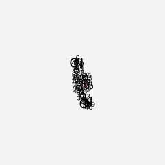 CC1(C)COC(c2ccc(-c3ccc4c(c3)C(c3ccccc3)(c3ccccc3)c3cc(-c5ccc(C6=NC(C)(C)CO6)cc5)ccc3-4)cc2)=N1